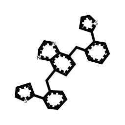 c1csc(-c2ccccc2Cc2ccc(Cc3ccccc3-c3cccs3)c3nccnc23)c1